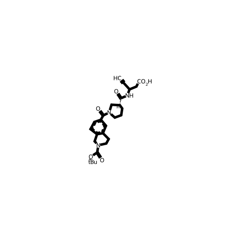 C#CC(CC(=O)O)NC(=O)[C@@H]1CCCN(C(=O)c2ccc3c(c2)CCN(C(=O)OC(C)(C)C)C3)C1